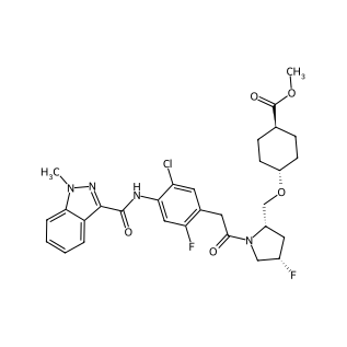 COC(=O)[C@H]1CC[C@H](OC[C@@H]2C[C@H](F)CN2C(=O)Cc2cc(Cl)c(NC(=O)c3nn(C)c4ccccc34)cc2F)CC1